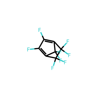 FC1=C2C(F)(F)C(=C1F)C(F)(F)C2(F)F